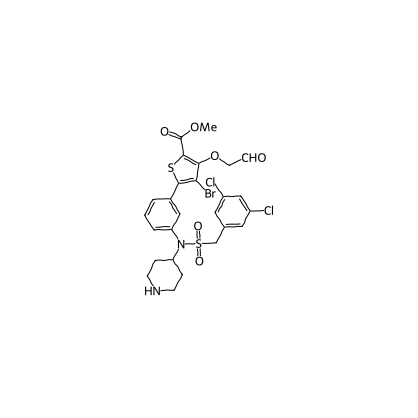 COC(=O)c1sc(-c2cccc(N(C3CCNCC3)S(=O)(=O)Cc3cc(Cl)cc(Cl)c3)c2)c(Br)c1OCC=O